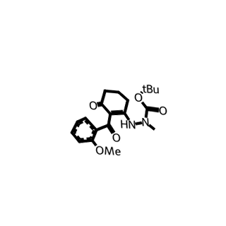 COc1ccccc1C(=O)C1=C(NN(C)C(=O)OC(C)(C)C)CCCC1=O